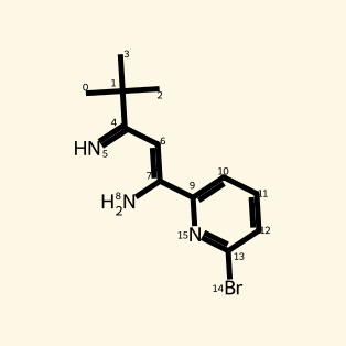 CC(C)(C)C(=N)/C=C(\N)c1cccc(Br)n1